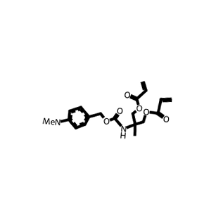 C=CC(=O)OCC(C)(COC(=O)C=C)NC(=O)OCc1ccc(NC)cc1